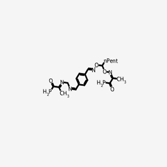 CCCCCC(O/N=C(/C)C(=O)P)O/N=C/c1ccc(/C=N\C/N=C(\C)C(=O)P)cc1